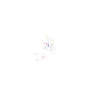 CCOC(=O)C(C)C1CCC(c2cc(-c3ccc(F)cc3C)c(N(C)C(=O)C(C)(C)c3cc(C(F)(F)F)cc(C(F)(F)F)c3)cn2)CC1